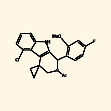 COc1cc(F)ccc1C1c2[nH]c3cccc(Cl)c3c2C2(CC2)CN1C(C)=O